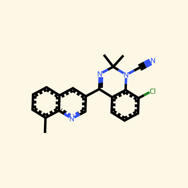 Cc1cccc2cc(C3=NC(C)(C)N(C#N)c4c(Cl)cccc43)cnc12